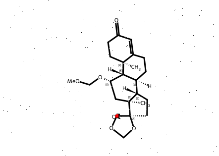 COCO[C@H]1C[C@@]2(C)[C@@H](CC[C@@]23OCOC32COCO2)[C@@H]2CCC3=CC(=O)CC[C@]3(C)[C@H]21